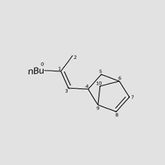 CCCCC(C)=CC1CC2C=CC1C2